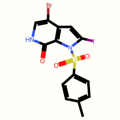 Cc1ccc(S(=O)(=O)n2c(I)cc3c(Br)c[nH]c(=O)c32)cc1